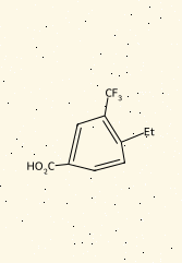 CCc1ccc(C(=O)O)cc1C(F)(F)F